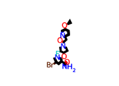 NC(=O)c1cc(Br)cnc1O[C@H]1CCN(C(=O)Cc2ccc(OC3CC3)cn2)C[C@@H]1F